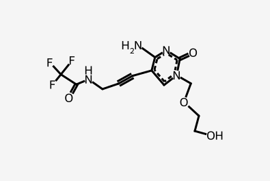 Nc1nc(=O)n(COCCO)cc1C#CCNC(=O)C(F)(F)F